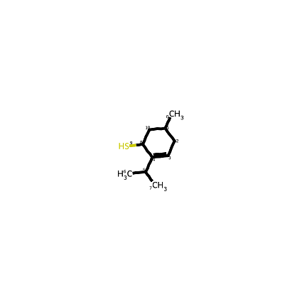 CC1CC=C(C(C)C)C(S)C1